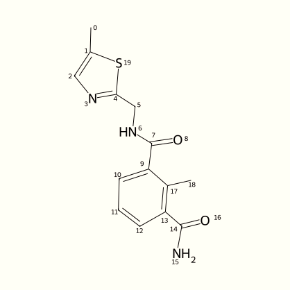 Cc1cnc(CNC(=O)c2cccc(C(N)=O)c2C)s1